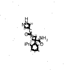 CC(C)c1ccccc1C1(C(N)=O)CN(C(=O)Cc2cn[nH]c2)C1